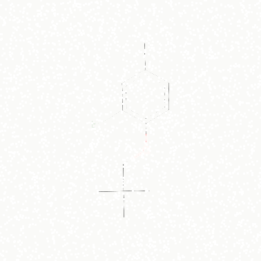 Cc1ccc(OCC(C)(C)C)c(Br)c1